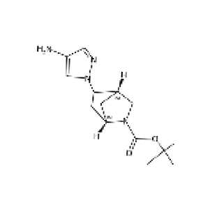 CC(C)(C)OC(=O)N1C[C@@H]2C[C@H]1CC2n1cc(N)cn1